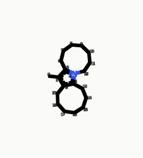 Cc1c2c(n3c1CCCCCCC3)CCCCCCC2